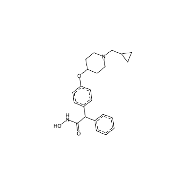 O=C(NO)C(c1ccccc1)c1ccc(OC2CCN(CC3CC3)CC2)cc1